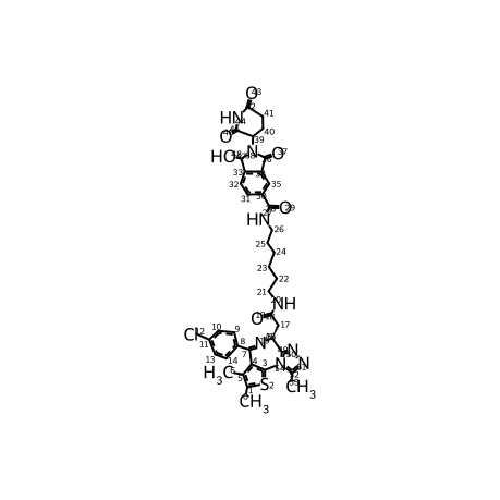 Cc1sc2c(c1C)C(c1ccc(Cl)cc1)=N[C@@H](CC(=O)NCCCCCCNC(=O)c1ccc3c(c1)C(=O)N(C1CCC(=O)NC1=O)C3O)c1nnc(C)n1-2